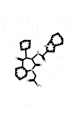 NC(=O)CN1C(=O)C(NC(=O)c2cc3ccccc3[nH]2)C(c2ccccc2)C(=O)c2ccccc21